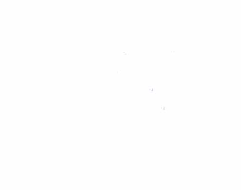 COc1ccc(C23CCC(NC(=O)Nc4ccc(F)c(F)c4)CC2N(C)CC3)cc1OC(C)C.O=C(O)C(F)(F)F